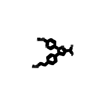 COc1ccc(-n2nc(C(F)F)cc2-c2ccc(CCOC(C)=O)cc2)cn1